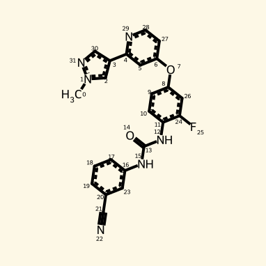 Cn1cc(-c2cc(Oc3ccc(NC(=O)Nc4cccc(C#N)c4)c(F)c3)ccn2)cn1